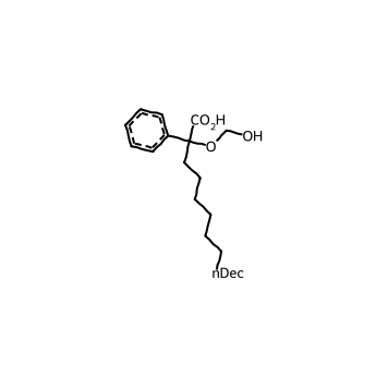 CCCCCCCCCCCCCCCCC(OCO)(C(=O)O)c1ccccc1